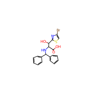 O=C(O)C(NC(c1ccccc1)c1ccccc1)C(O)c1nc(Br)cs1